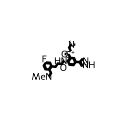 CNCc1ccc(F)cc1CCC(=O)Nc1ccc(-c2cn[nH]c2)cc1[S+]([O-])CCN(C)C